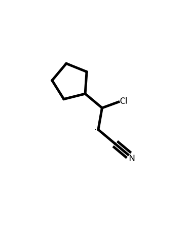 N#C[CH]C(Cl)C1CCCC1